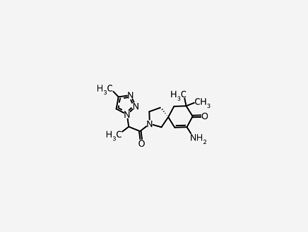 Cc1cn(C(C)C(=O)N2CC[C@]3(C=C(N)C(=O)C(C)(C)C3)C2)nn1